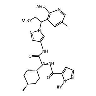 COCC(c1cc(F)cnc1OC)n1cc(NC(=O)[C@@H](NC(=O)c2ccnn2C(C)C)[C@H]2CC[C@H](C)CC2)cn1